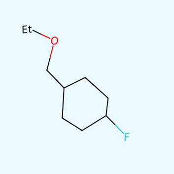 CCOCC1CCC(F)CC1